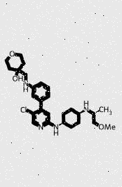 COC[C@@H](C)N[C@H]1CC[C@H](Nc2cc(-c3cccc(NCC4(O)CCOCC4)c3)c(Cl)cn2)CC1